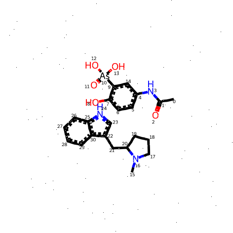 CC(=O)Nc1ccc(O)c([As](=O)(O)O)c1.CN1CCCC1Cc1c[nH]c2ccccc12